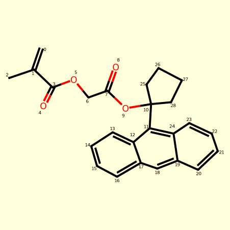 C=C(C)C(=O)OCC(=O)OC1(c2c3ccccc3cc3ccccc23)CCCC1